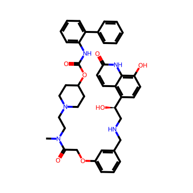 CN(CCN1CCC(OC(=O)Nc2ccccc2-c2ccccc2)CC1)C(=O)COc1cccc(CNC[C@@H](O)c2ccc(O)c3[nH]c(=O)ccc23)c1